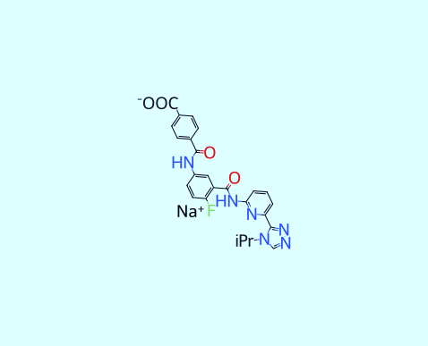 CC(C)n1cnnc1-c1cccc(NC(=O)c2cc(NC(=O)c3ccc(C(=O)[O-])cc3)ccc2F)n1.[Na+]